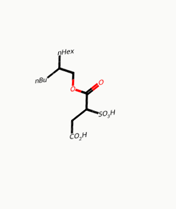 CCCCCCC(CCCC)COC(=O)C(CC(=O)O)S(=O)(=O)O